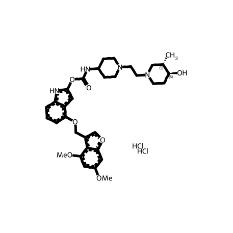 COc1cc(OC)c2c(COc3cccc4[nH]c(OC(=O)NC5CCN(CCN6CC[C@H](O)[C@@H](C)C6)CC5)cc34)coc2c1.Cl.Cl